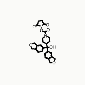 O=C(ON1C(=O)CCC1=O)N1CCC(C(O)(c2ccc3c(c2)COC3)c2ccc3c(c2)COC3)CC1